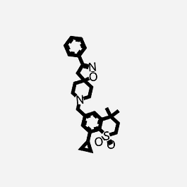 CC1(C)CCS(=O)(=O)c2c(C3CC3)cc(CN3CCC4(CC3)CC(c3ccccc3)=NO4)cc21